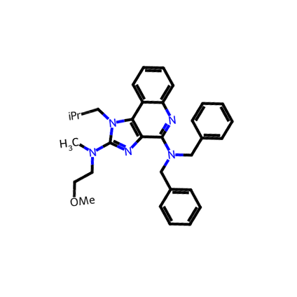 COCCN(C)c1nc2c(N(Cc3ccccc3)Cc3ccccc3)nc3ccccc3c2n1CC(C)C